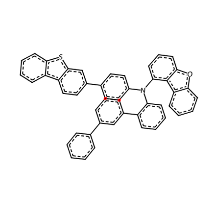 c1ccc(-c2cccc(-c3ccccc3N(c3ccc(-c4ccc5c(c4)sc4ccccc45)cc3)c3cccc4oc5ccccc5c34)c2)cc1